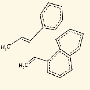 C=Cc1cccc2ccccc12.CC=Cc1ccccc1